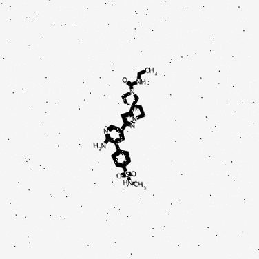 CCNC(=O)N1CC[C@@]2(CCn3nc(-c4cnc(N)c(-c5ccc(S(=O)(=O)NC)cc5)c4)cc32)C1